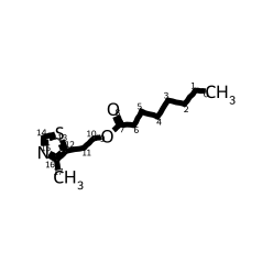 CCCCCCCC(=O)OCCc1scnc1C